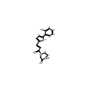 O=C1CN(C(=O)/C=C/c2ccc(-c3ccccc3F)s2)CCN1